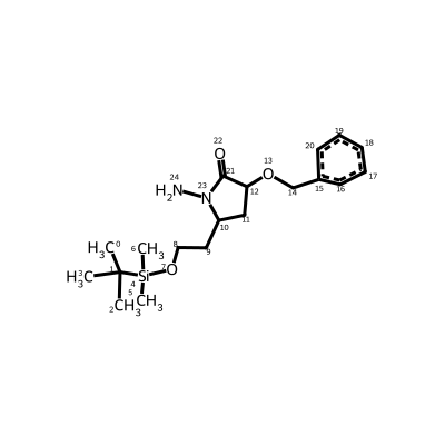 CC(C)(C)[Si](C)(C)OCCC1CC(OCc2ccccc2)C(=O)N1N